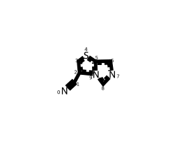 N#Cc1csc2cncn12